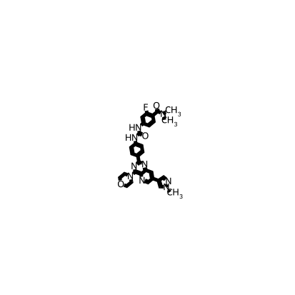 CN(C)C(=O)c1ccc(NC(=O)Nc2ccc(-c3nc(N4CCOCC4)c4ncc(-c5cnn(C)c5)cc4n3)cc2)cc1F